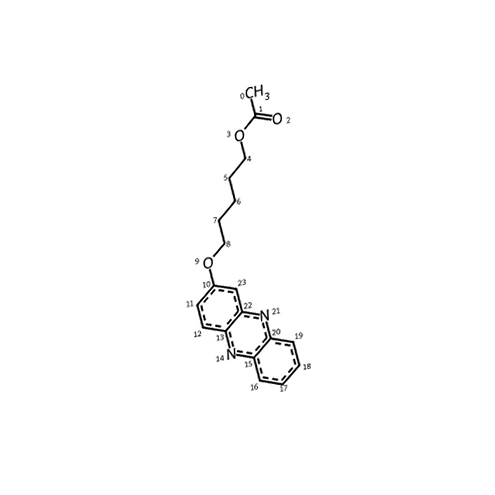 CC(=O)OCCCCCOc1ccc2nc3ccccc3nc2c1